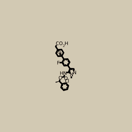 C[C@@H](OC(=O)Nc1c(-c2ccc(C34CCC(CC(=O)O)(CC3)OC4)c(F)c2)cnn1C)c1ccccc1Cl